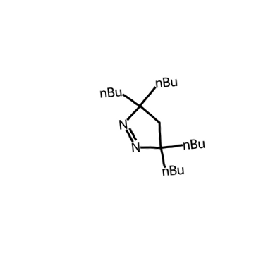 CCCCC1(CCCC)CC(CCCC)(CCCC)N=N1